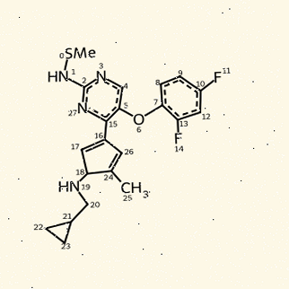 CSNc1ncc(Oc2ccc(F)cc2F)c(C2=CC(NCC3CC3)C(C)=C2)n1